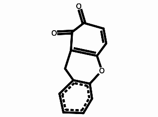 O=C1C=CC2=C(Cc3ccccc3O2)C1=O